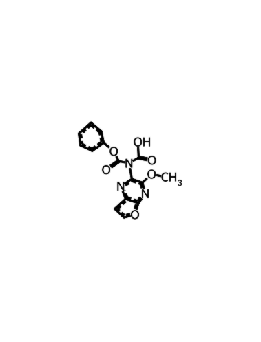 COc1nc2occc2nc1N(C(=O)O)C(=O)Oc1ccccc1